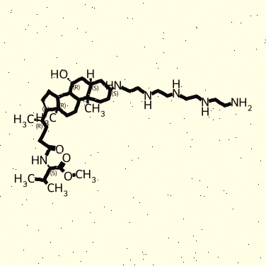 COC(=O)[C@@H](NC(=O)CC[C@@H](C)[C@H]1CCC2C3C(CC[C@@]21C)[C@@]1(C)CC[C@H](NCCNCCNCCNCCN)C[C@H]1C[C@H]3O)C(C)C